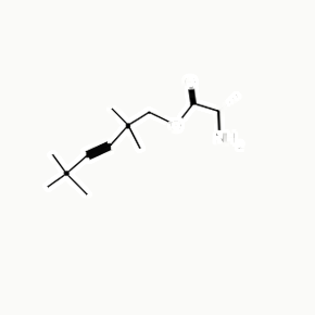 C[C@H](N)C(=O)OCC(C)(C)C#CC(C)(C)C